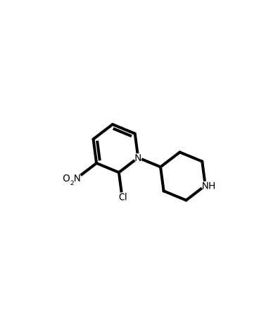 O=[N+]([O-])C1=CC=CN(C2CCNCC2)C1Cl